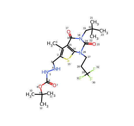 Cc1c(CNNC(=O)OC(C)(C)C)sc2c1c(=O)n(CC(C)(C)C)c(=O)n2CCC(F)(F)F